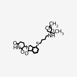 C=CCC(CC)(CC)NCCCCSc1cccc2c1CN(C1CCC(=O)NC1=O)C2=O